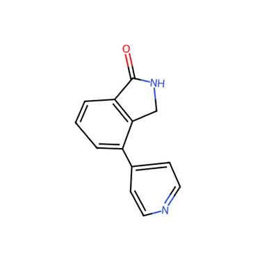 O=C1NCc2c1cccc2-c1ccncc1